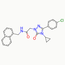 O=C(Cn1nc(-c2ccc(Cl)cc2)n(C2CC2)c1=O)NCc1cccc2ccccc12